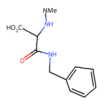 CNNC(C(=O)O)C(=O)NCc1ccccc1